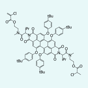 C=C(Cl)C(=O)OCCN(C)C(=O)C(C(C)C)N1C(=O)c2cc(Oc3ccc(C(C)(C)C)cc3)c3c4c(Oc5ccc(C(C)(C)C)cc5)cc5c6c(cc(Oc7ccc(C(C)(C)C)cc7)c(c7c(Oc8ccc(C(C)(C)C)cc8)cc(c2c37)C1=O)c64)C(=O)N(C(C(=O)N(C)CCOC(=O)C(C)Cl)C(C)C)C5=O